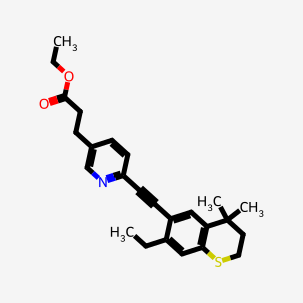 CCOC(=O)CCc1ccc(C#Cc2cc3c(cc2CC)SCCC3(C)C)nc1